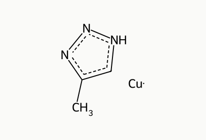 Cc1c[nH]nn1.[Cu]